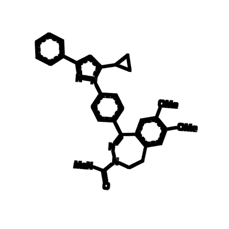 CNC(=O)N1CCc2cc(OC)c(OC)cc2C(c2ccc(-n3nc(-c4ccccc4)cc3C3CC3)cc2)=N1